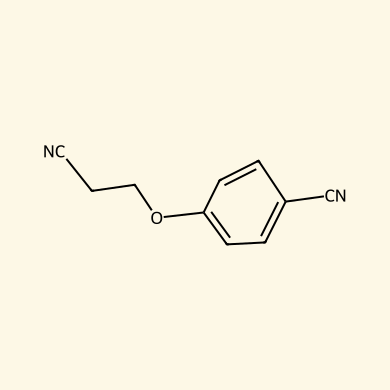 N#CCCOc1ccc(C#N)cc1